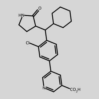 O=C(O)c1cncc(-c2ccc(C(C3CCCCC3)C3CCNC3=O)c(Cl)c2)c1